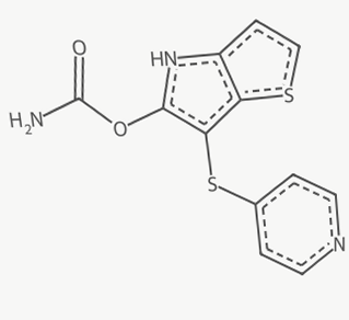 NC(=O)Oc1[nH]c2ccsc2c1Sc1ccncc1